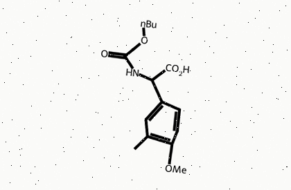 CCCCOC(=O)NC(C(=O)O)c1ccc(OC)c(C)c1